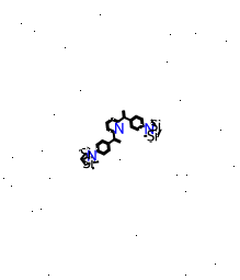 C=C(c1ccc(N2[Si](C)(C)CC[Si]2(C)C)cc1)c1cccc(C(=C)c2ccc(N3[Si](C)(C)CC[Si]3(C)C)cc2)n1